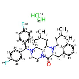 CC(C)CCN(CCC(C)C)[C@@H](Cc1ccccc1)C(=O)N1CCN(C(c2ccc(F)cc2)c2ccc(F)cc2)CC1.Cl.Cl